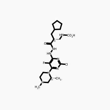 C[C@@H]1CN(C)CCN1c1nc(Cl)nc(NNC(=O)[C@@H](CNC(=O)O)CC2CCCC2)c1F